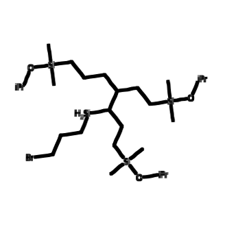 CC(C)O[Si](C)(C)CCCC(CC[Si](C)(C)OC(C)C)C(CC[Si](C)(C)OC(C)C)[SiH2]CCCBr